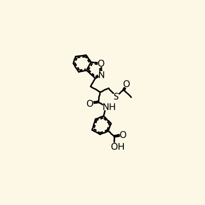 CC(=O)SCC(Cc1noc2ccccc12)C(=O)Nc1cccc(C(=O)O)c1